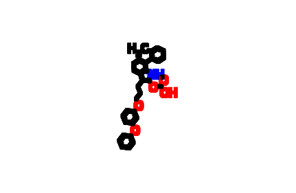 Cc1ccccc1-c1cccc2c(CCCOc3cccc(Oc4ccccc4)c3)c(OC(=O)O)[nH]c12